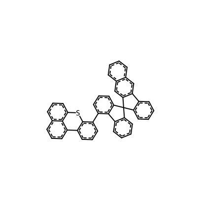 c1ccc2c(c1)-c1cc3ccccc3cc1C21c2ccccc2-c2c(-c3cccc4c3Sc3cccc5cccc-4c35)cccc21